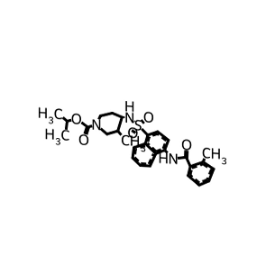 Cc1ccccc1C(=O)Nc1ccc(S(=O)(=O)N[C@H]2CCN(C(=O)OC(C)C)CC2C)c2ccccc12